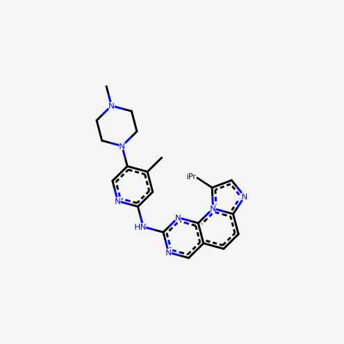 Cc1cc(Nc2ncc3ccc4ncc(C(C)C)n4c3n2)ncc1N1CCN(C)CC1